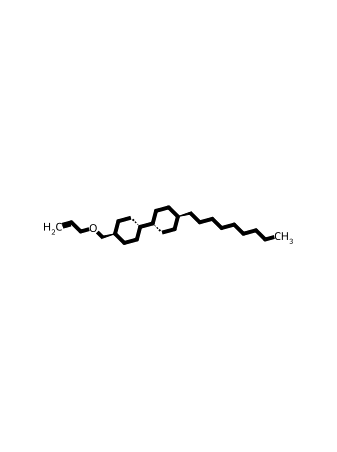 C=CCOC[C@H]1CC[C@H]([C@H]2CC[C@H](CCCCCCCCC)CC2)CC1